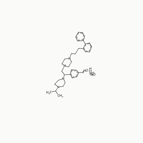 CC(C)N1CCN(C(CN2CCN(CCCc3ccccc3-c3ccccc3)CC2)c2ccc(F)cc2)CC1.Cl.Cl.Cl.Cl